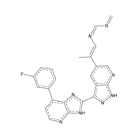 C=N/C=N\C=C(/C)c1cnc2[nH]nc(-c3nc4c(-c5cccc(F)c5)ccnc4[nH]3)c2c1